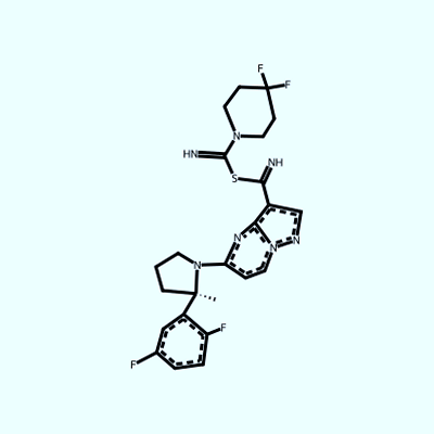 C[C@]1(c2cc(F)ccc2F)CCCN1c1ccn2ncc(C(=N)SC(=N)N3CCC(F)(F)CC3)c2n1